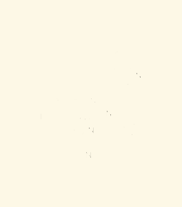 Cc1ccccc1-c1sc(CN)nc1C(=O)N(CCC1=CN=C2CC=C(F)C=C12)CC1CC1